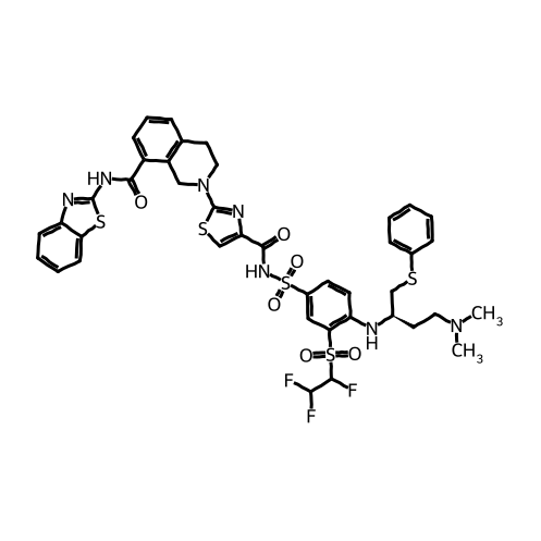 CN(C)CC[C@H](CSc1ccccc1)Nc1ccc(S(=O)(=O)NC(=O)c2csc(N3CCc4cccc(C(=O)Nc5nc6ccccc6s5)c4C3)n2)cc1S(=O)(=O)C(F)C(F)F